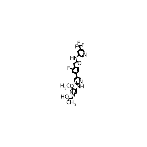 COc1nn(C[C@H](C)O)cc1Nc1ncc(-c2ccc(CC(=O)Nc3cncc(C(F)(F)F)c3)c(F)c2)cn1